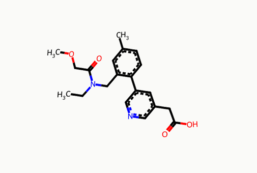 CCN(Cc1cc(C)ccc1-c1cncc(CC(=O)O)c1)C(=O)COC